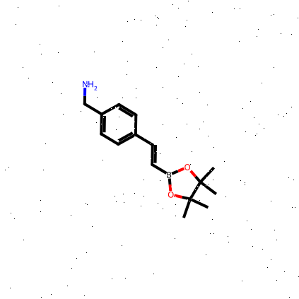 CC1(C)OB(C=Cc2ccc(CN)cc2)OC1(C)C